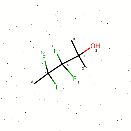 CC(C)(O)C(F)(F)C(C)(F)F